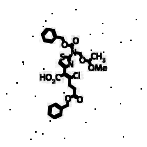 COC(C)OCN(C(=O)OCc1ccccc1)c1nc(C(C(=O)O)=C(Cl)CCC(=O)OCc2ccccc2)cs1